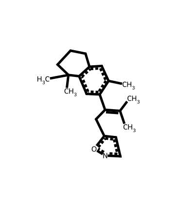 CC(C)=C(Cc1ccno1)c1cc2c(cc1C)CCCC2(C)C